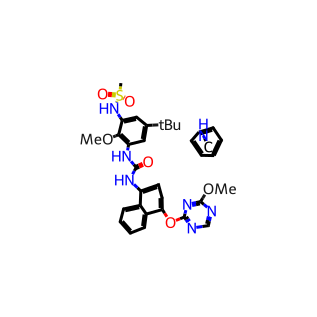 COc1ncnc(Oc2ccc(NC(=O)Nc3cc(C(C)(C)C)cc(NS(C)(=O)=O)c3OC)c3ccccc23)n1.c1cc2ccc1CN2